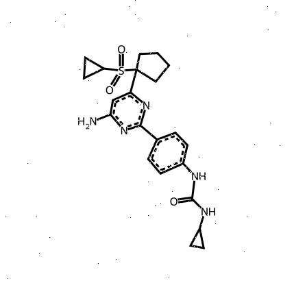 Nc1cc(C2(S(=O)(=O)C3CC3)CCCC2)nc(-c2ccc(NC(=O)NC3CC3)cc2)n1